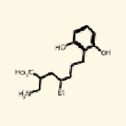 CCC(CCCc1c(O)cccc1O)CC(CN)C(=O)O